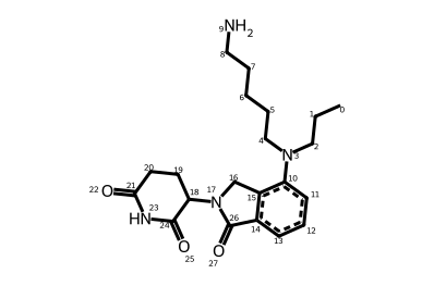 CCCN(CCCCCN)c1cccc2c1CN(C1CCC(=O)NC1=O)C2=O